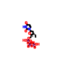 CC[C@H]1C[C@H](n2ccc(=O)[nH]c2=O)O[C@@H]1COP(=O)(O)OP(=O)(O)OP(=O)(O)O